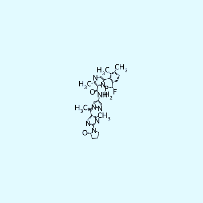 Cc1ccc(C(F)P)c(-c2cnc(C)c(C(=O)Nc3cnn([C@H](C)c4cnc(N5CCCC5=O)nc4C)c3)n2)c1C